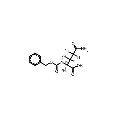 [2H]C([2H])(C(N)=O)C([2H])([2H])[C@]([2H])(NC(=O)OCc1ccccc1)C(=O)O